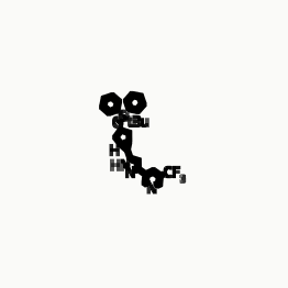 CC(C)(C)[Si](OC1CC2C(c3cc(-c4cncc(C(F)(F)F)c4)n[nH]3)[C@@H]2C1)(c1ccccc1)c1ccccc1